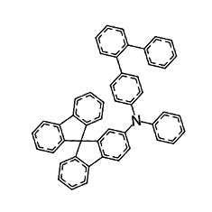 c1ccc(-c2ccccc2-c2ccc(N(c3ccccc3)c3ccc4c(c3)C3(c5ccccc5-c5ccccc53)c3ccccc3-4)cc2)cc1